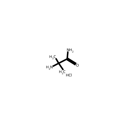 CC(C)(N)C(N)=O.Cl